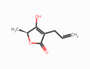 C=CCC1=C(O)[C@H](C)OC1=O